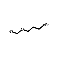 CCCCCCOC[O]